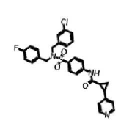 O=C(Nc1ccc(S(=O)(=O)N(Cc2ccc(F)cc2)Cc2cccc(Cl)c2)cc1)C1CC1c1ccncc1